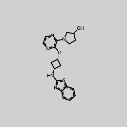 O[C@H]1CCN(c2nccnc2O[C@H]2C[C@H](Nc3nc4ccccc4s3)C2)C1